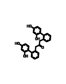 O=C(Cc1ccccc1-c1ccc(O)cc1O)Cc1ccccc1-c1ccc(O)cc1O